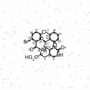 O=C(N[C@@H](Cc1c[nH]c(=O)nc1NC(=O)c1c(Cl)cccc1Cl)C(=O)O)c1ccccc1Br